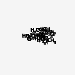 CCOCC.Cc1cccc(C)c1Oc1nc(NCc2ccc(C(=O)O)cc2)nc2c1CN(Cc1ccccc1)CC2